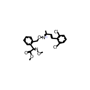 CON=C(C(=O)OC)c1ccccc1CO/N=C(\C)C=Cc1c(Cl)cccc1Cl